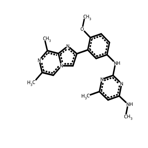 CNc1cc(C)nc(Nc2ccc(OC)c(-c3cn4cc(C)nc(C)c4n3)c2)n1